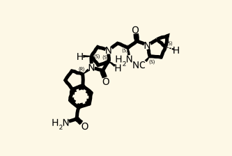 N#C[C@@H]1C[C@@H]2CC2N1C(=O)[C@@H](N)CN1C[C@@H]2C[C@H]1C(=O)N2[C@@H]1CCc2cc(C(N)=O)ccc21